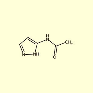 [CH2]C(=O)Nc1ccn[nH]1